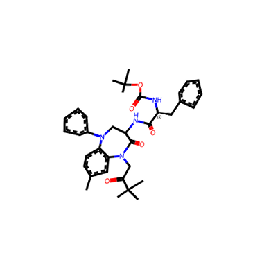 Cc1ccc2c(c1)N(CC(=O)C(C)(C)C)C(=O)C(NC(=O)[C@H](Cc1ccccc1)NC(=O)OC(C)(C)C)CN2c1ccccc1